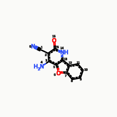 N#Cc1c(N)c2oc3ccccc3c2[nH]c1=O